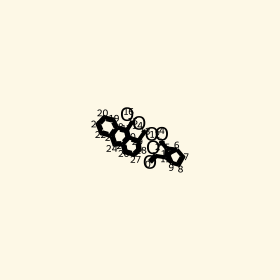 O=C1OC(=O)C2C3C=CC(C3)C12.O=C1OC(=O)c2c3ccccc3cc3cccc1c23